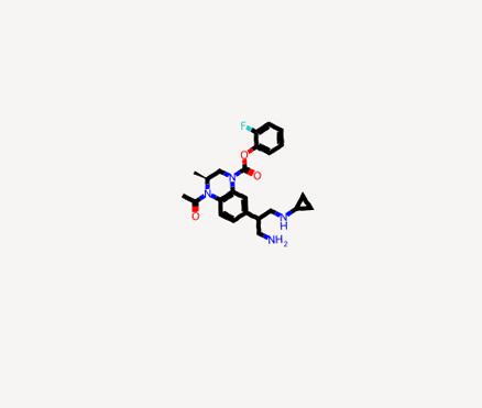 CC(=O)N1c2ccc(C(CN)CNC3CC3)cc2N(C(=O)Oc2ccccc2F)C[C@@H]1C